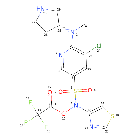 CN(c1ncc(S(=O)(=O)N(OC(=O)C(F)(F)F)c2cscn2)cc1Cl)[C@@H]1CCNC1